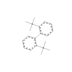 CC(C)(C)c1ccccc1-c1ccccc1C(C)(C)C.[LiH]